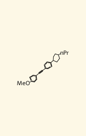 CCCC1CCC(c2ccc(C#Cc3ccc(OC)cc3)cc2)CC1